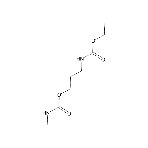 CCOC(=O)NCCCOC(=O)NC